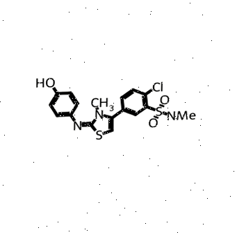 CNS(=O)(=O)c1cc(-c2csc(=Nc3ccc(O)cc3)n2C)ccc1Cl